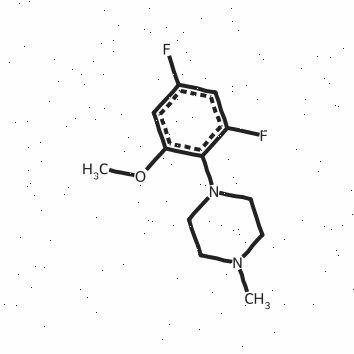 COc1cc(F)cc(F)c1N1CCN(C)CC1